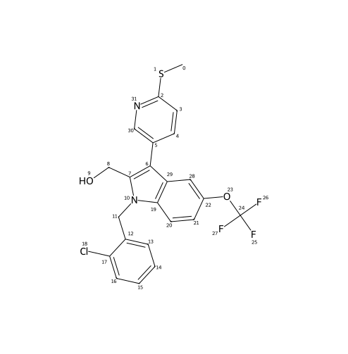 CSc1ccc(-c2c(CO)n(Cc3ccccc3Cl)c3ccc(OC(F)(F)F)cc23)cn1